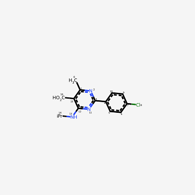 Cc1nc(-c2ccc(Cl)cc2)nc(NC(C)C)c1C(=O)O